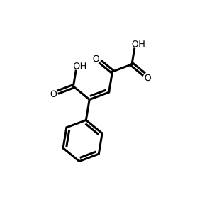 O=C(O)C(=O)C=C(C(=O)O)c1ccccc1